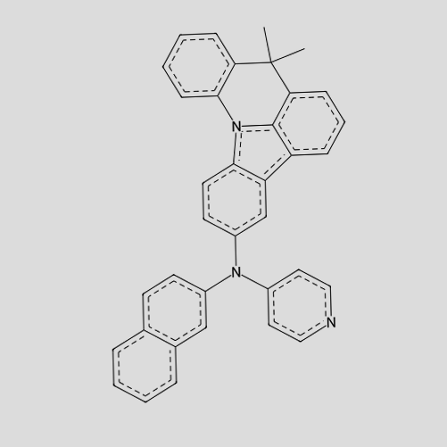 CC1(C)c2ccccc2-n2c3ccc(N(c4ccncc4)c4ccc5ccccc5c4)cc3c3cccc1c32